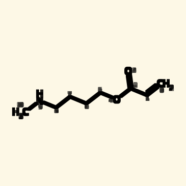 C=CC(=O)OCCCCNC